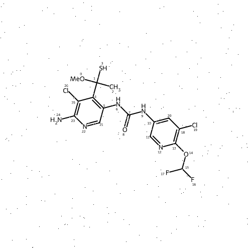 COC(C)(S)c1c(NC(=O)Nc2cnc(OC(F)F)c(Cl)c2)cnc(N)c1Cl